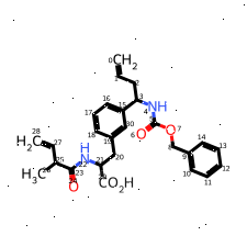 C=CCC(NC(=O)OCc1ccccc1)c1cccc(CC(NC(=O)C(C)C=C)C(=O)O)c1